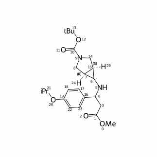 COC(=O)CC(NC1[C@H]2CN(C(=O)OC(C)(C)C)C[C@@H]12)c1ccc(OC(C)C)cc1